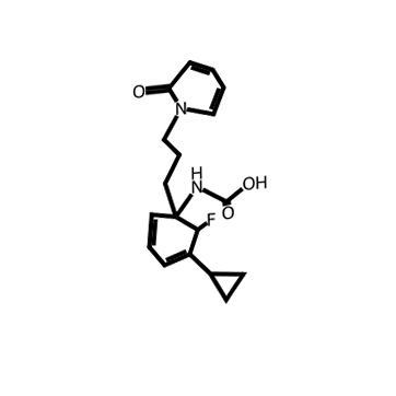 O=C(O)NC1(CCCn2ccccc2=O)C=CC=C(C2CC2)C1F